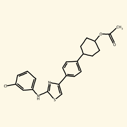 CC(=O)OC1CCC(c2ccc(-c3csc(Nc4cccc(Cl)c4)n3)cc2)CC1